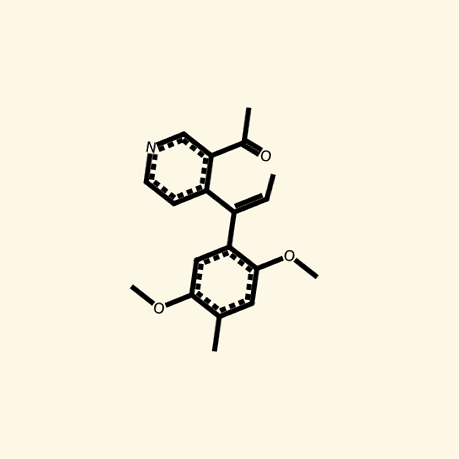 C/C=C(/c1cc(OC)c(C)cc1OC)c1ccncc1C(C)=O